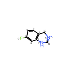 Fc1ccc2c(c1)NC=[N+]C2